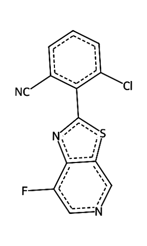 N#Cc1cccc(Cl)c1-c1nc2c(F)cncc2s1